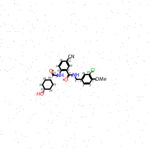 COc1ccc(CNC(=O)c2cc(C#N)ccc2NC(=O)[C@H]2CC[C@H](O)CC2)cc1Cl